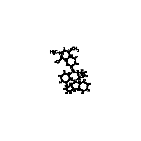 Cc1cn(C)c(=O)c2cc(N3c4ccccc4[Si]4(c5ccccc5-c5ccccc54)c4ccccc43)ccc12